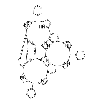 c1ccc(C2c3ccc([nH]3)-c3ccc4c5nc6c(nc35)c3nc5c(ccc7c5nc3c3nc5c(ccc(c5nc63)-c3ccc([nH]3)C(c3ccccc3)c3ccc-4[nH]3)-c3ccc([nH]3)C(c3ccccc3)c3ccc-7[nH]3)-c3ccc2[nH]3)cc1